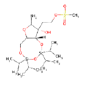 BC1OC2CO[Si](C(C)C)(C(C)C)O[Si](C(C)C)(C(C)C)O[C@H]2[C@]1(O)CCOS(C)(=O)=O